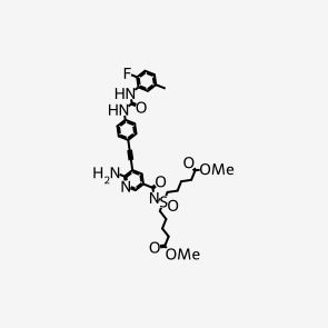 COC(=O)CCCCS(=O)(CCCCC(=O)OC)=NC(=O)c1cnc(N)c(C#Cc2ccc(NC(=O)Nc3cc(C)ccc3F)cc2)c1